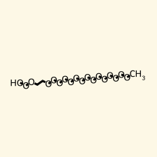 COOOOOOOOOOOOOOOCCOOO